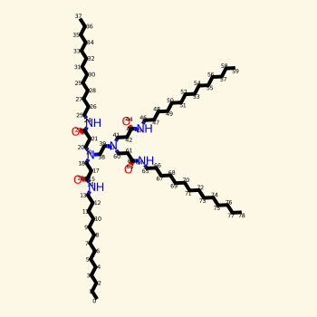 CCCCCCCCCCCCCCNC(=O)CCN(CCC(=O)NCCCCCCCCCCCCC)CCN(CCC(=O)NCCCCCCCCCCCCCC)CCC(=O)NCCCCCCCCCCCCCC